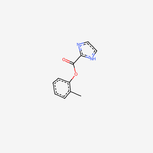 Cc1ccccc1OC(=O)c1ncc[nH]1